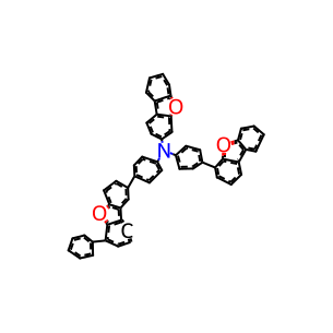 c1ccc(-c2cccc3c2oc2ccc(-c4ccc(N(c5ccc(-c6cccc7c6oc6ccccc67)cc5)c5ccc6c(c5)oc5ccccc56)cc4)cc23)cc1